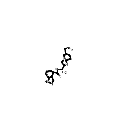 Cl.NCc1ccc2nc(CNC(=O)c3cccc4[nH]ncc34)cn2c1